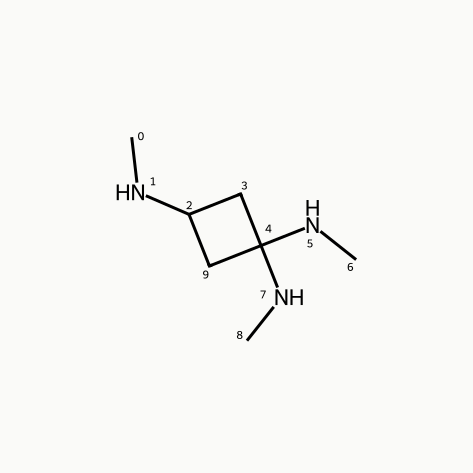 CNC1CC(NC)(NC)C1